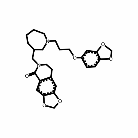 O=C1c2cc3c(cc2CCN1CC1CCCCN(CCCOc2ccc4c(c2)OCO4)C1)OCO3